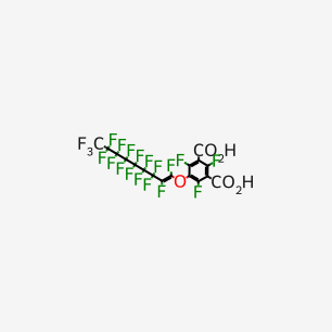 O=C(O)c1c(F)c(OC(F)=C(F)C(F)(F)C(F)(F)C(F)(F)C(F)(F)C(F)(F)C(F)(F)C(F)(F)F)c(F)c(C(=O)O)c1F